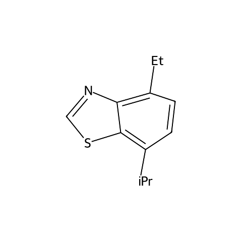 CCc1ccc(C(C)C)c2scnc12